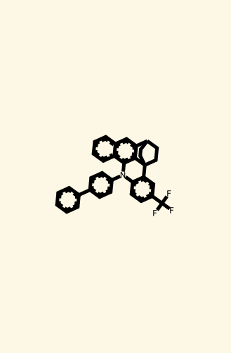 FC(F)(F)c1ccc2c(c1)C13CCC(CC1)c1cc4ccccc4c(c13)N2c1ccc(-c2ccccc2)cc1